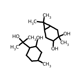 CC1(O)CC2C(CC1O)C2(C)C.CC1CCC(C(C)(C)O)C(O)C1